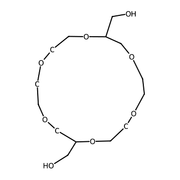 OCC1COCCOCCOC(CO)COCCOCCO1